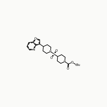 CC(C)(C)OC(=O)N1CCC(S(=O)(=O)N2CCC(c3coc4cccnc34)CC2)CC1